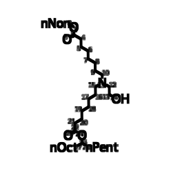 CCCCCCCCCOC(=O)CCCCCCCN(CCO)CCCCCCCC(=O)OC(CCCCC)CCCCCCCC